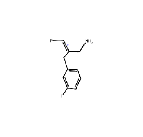 NC/C(=C/F)Cc1cccc(F)c1